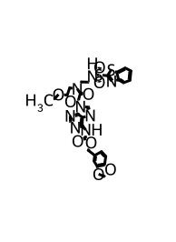 CCOC(=O)CN(CCNS(=O)(=O)c1nc2ccccc2s1)C(=O)Cn1cnc2c(NC(=O)OCc3ccc4c(c3)OCO4)ncnc21